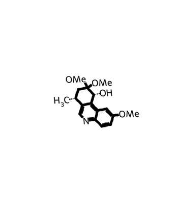 COc1ccc2ncc3c(c2c1)[C@@H](O)C(OC)(OC)C[C@H]3C